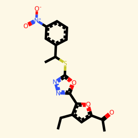 CCc1cc(C(C)=O)oc1-c1nnc(SC(C)c2cccc([N+](=O)[O-])c2)o1